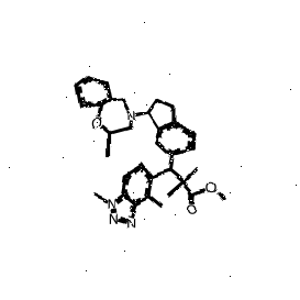 COC(=O)C(C)(C)C(c1ccc2c(c1)C(N1Cc3ccccc3OC(C)C1)CC2)c1ccc2c(nnn2C)c1C